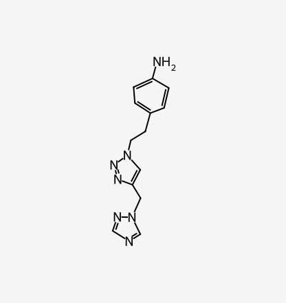 Nc1ccc(CCn2cc(Cn3cncn3)nn2)cc1